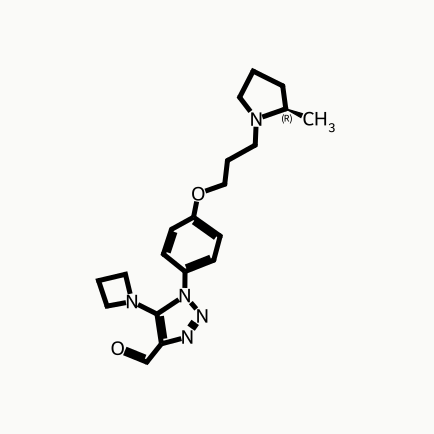 C[C@@H]1CCCN1CCCOc1ccc(-n2nnc(C=O)c2N2CCC2)cc1